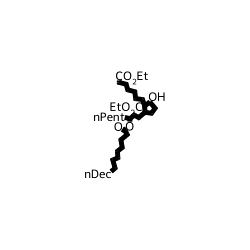 CCCCCCCCCCCCCCCCCC(=O)OC(CCCCC)CCC1CCC(O)C1(CCCCCCC(=O)OCC)C(=O)OCC